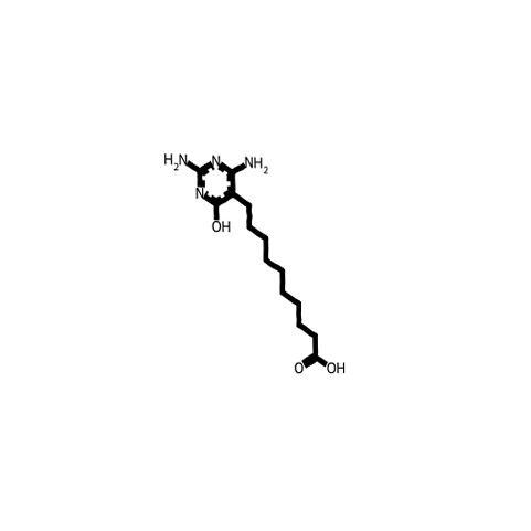 Nc1nc(N)c(CCCCCCCCCC(=O)O)c(O)n1